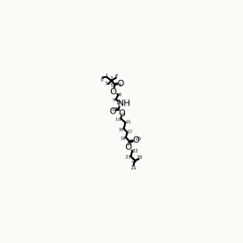 CCC(C)(C)C(=O)OCCNC(=O)OCCCCCC(=O)OCCC(C)C